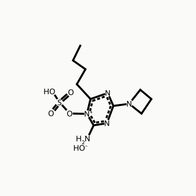 CCCCc1nc(N2CCC2)nc(N)[n+]1OS(=O)(=O)O.[OH-]